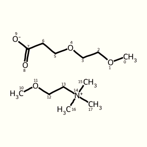 COCCOCCC(=O)[O-].COCC[N+](C)(C)C